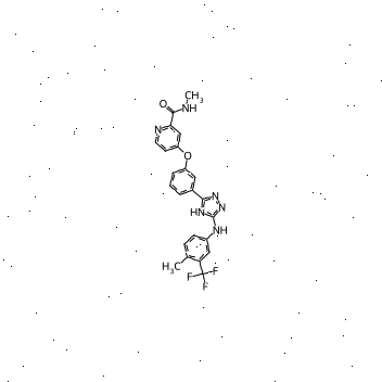 CNC(=O)c1cc(Oc2cccc(-c3nnc(Nc4ccc(C)c(C(F)(F)F)c4)[nH]3)c2)ccn1